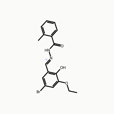 CCOc1cc(Br)cc(/C=N/NC(=O)c2ccccc2C)c1O